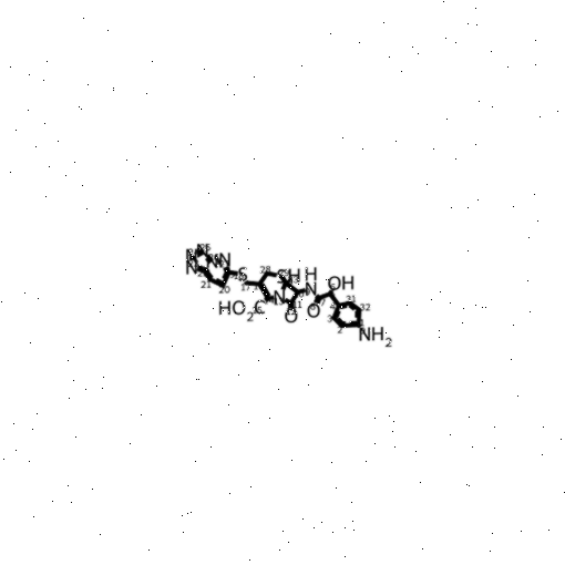 Nc1ccc(C(O)C(=O)NC2C(=O)N3C(C(=O)O)=C(CSc4ccc5nnnn5n4)CS[C@@H]23)cc1